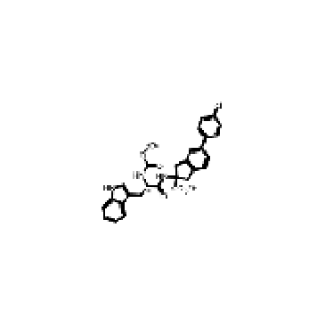 CCOC(=O)C1(NC(=O)[C@@H](Cc2c[nH]c3ccccc23)NC(=O)OC(C)(C)C)Cc2ccc(-c3ccc(Cl)cc3)cc2C1